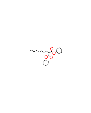 CCCCCCCCC(C(=O)OC1CCCCC1)C(=O)OC1CCCCC1